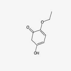 CCOC1=CC=C(O)CC1=O